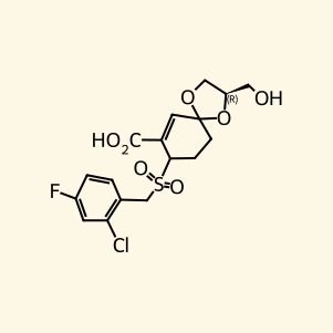 O=C(O)C1=CC2(CCC1S(=O)(=O)Cc1ccc(F)cc1Cl)OC[C@@H](CO)O2